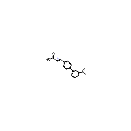 CNc1cccc(-c2ccc(/C=C/C(=O)O)cc2)c1